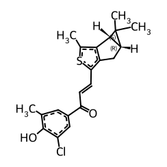 Cc1cc(C(=O)C=Cc2sc(C)c3c2C[C@@H]2[C@H]3C2(C)C)cc(Cl)c1O